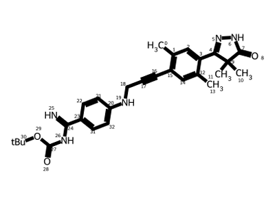 Cc1cc(C2=NNC(=O)C2(C)C)c(C)cc1C#CCNc1ccc(C(=N)NC(=O)OC(C)(C)C)cc1